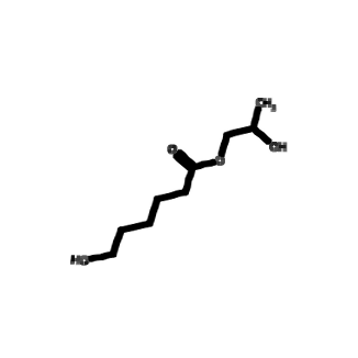 CC(O)COC(=O)CCCCCO